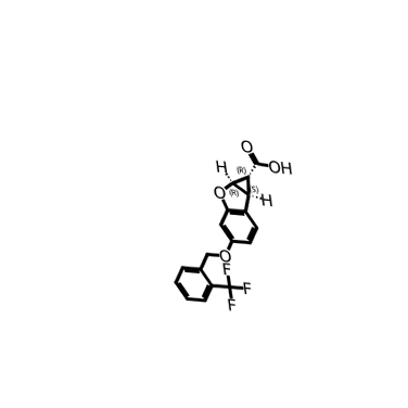 O=C(O)[C@H]1[C@@H]2Oc3cc(OCc4ccccc4C(F)(F)F)ccc3[C@@H]21